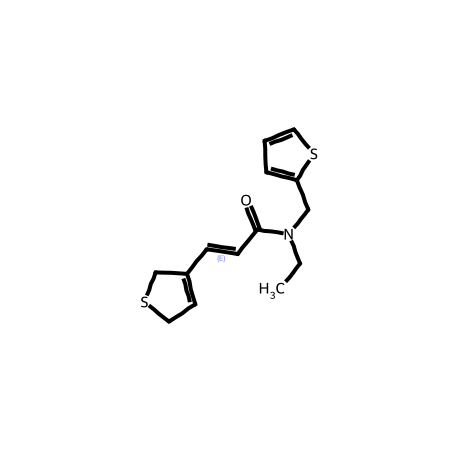 CCN(Cc1cccs1)C(=O)/C=C/C1=CCSC1